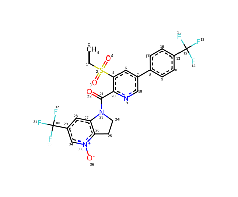 CCS(=O)(=O)c1cc(-c2ccc(C(F)(F)F)cc2)cnc1C(=O)N1CCc2c1cc(C(F)(F)F)c[n+]2[O-]